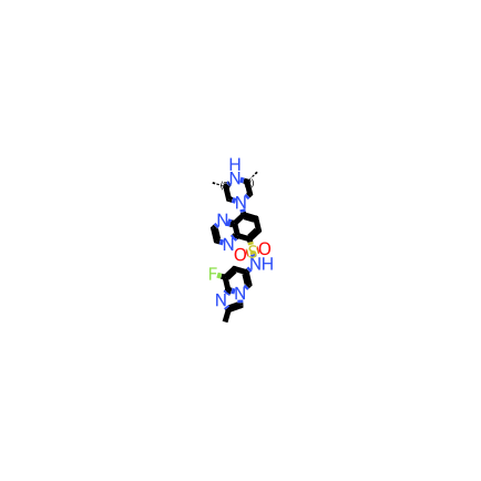 Cc1cn2cc(NS(=O)(=O)c3ccc(N4C[C@@H](C)N[C@@H](C)C4)c4nccnc34)cc(F)c2n1